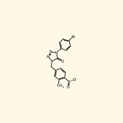 Cc1cc(Cn2nnn(-c3ccc(Br)cc3)c2=O)ccc1[N+](=O)[O-]